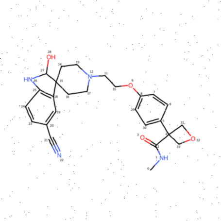 CNC(=O)C1(c2ccc(OCCN3CCC4(CC3)c3cc(C#N)ccc3NC4O)cc2)COC1